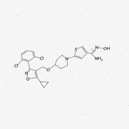 N/C(=N\O)c1csc(N2CCC(OCc3c(-c4c(Cl)cccc4Cl)noc3C3CC3)CC2)c1